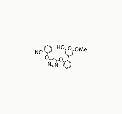 COC(=O)CC(=CCO)c1ccccc1Oc1cc(Oc2ccccc2C#N)ncn1